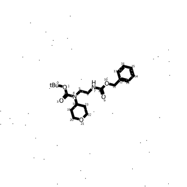 CC(C)(C)OC(=O)N(CCNC(=O)OCc1ccccc1)C1CCOCC1